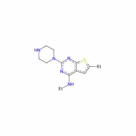 CCNc1nc(N2CCNCC2)nc2sc(CC)cc12